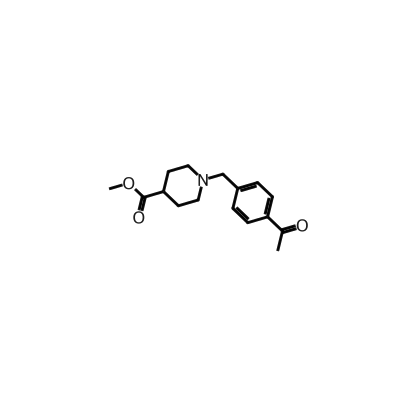 COC(=O)C1CCN(Cc2ccc(C(C)=O)cc2)CC1